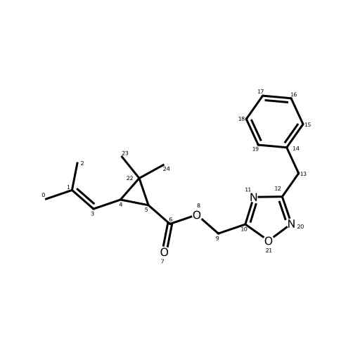 CC(C)=CC1C(C(=O)OCc2nc(Cc3ccccc3)no2)C1(C)C